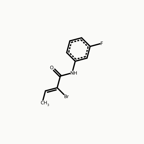 CC=C(Br)C(=O)Nc1cccc(F)c1